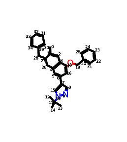 CC1=Cc2c(cc(-c3cnn(C(C)(C)C)c3)cc2OCc2ccccc2)CC1Cc1ccccc1